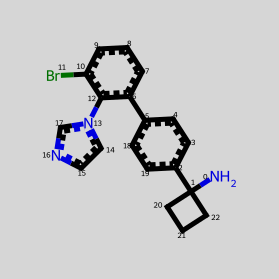 NC1(c2ccc(-c3cccc(Br)c3-n3ccnc3)cc2)CCC1